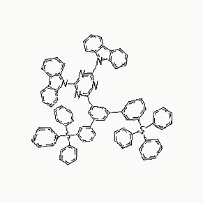 c1ccc(S(c2ccccc2)(c2ccccc2)c2cccc(-c3cc(-c4cccc(S(c5ccccc5)(c5ccccc5)c5ccccc5)c4)cc(-c4nc(-n5c6ccccc6c6ccccc65)nc(-n5c6ccccc6c6ccccc65)n4)c3)c2)cc1